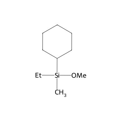 CC[Si](C)(OC)C1CCCCC1